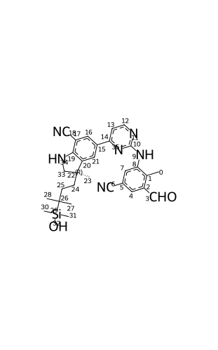 Cc1c(C=O)cc(C#N)cc1Nc1nccc(-c2cc(C#N)c3c(c2)[C@@](C)(CCC(C)(C)[Si](C)(C)O)CN3)n1